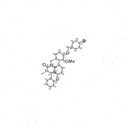 COc1cc(Cn2c(=O)c(C)c(-c3ccccc3[O-])[n+]3ccccc23)ccc1OCc1ccc(Br)cc1